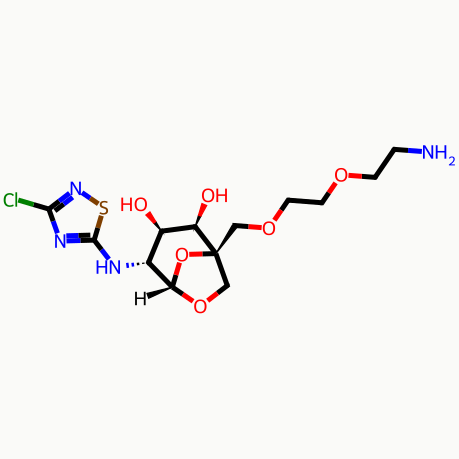 NCCOCCOC[C@@]12CO[C@@H](O1)[C@H](Nc1nc(Cl)ns1)[C@@H](O)[C@H]2O